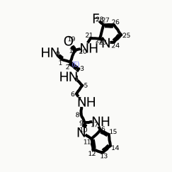 N=C/C(=C\NCCNCc1nc2ccccc2[nH]1)C(=O)NCc1ncccc1F